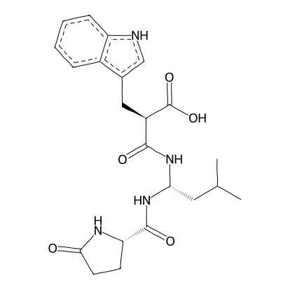 CC(C)C[C@@H](NC(=O)[C@@H](Cc1c[nH]c2ccccc12)C(=O)O)NC(=O)[C@@H]1CCC(=O)N1